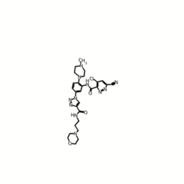 CN1CCN(c2ccc(-n3cc(C(=O)NCCCN4CCOCC4)nn3)cc2NC(=O)c2nnc(C#N)cc2Cl)CC1